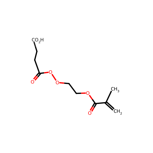 C=C(C)C(=O)OCCOOC(=O)CCC(=O)O